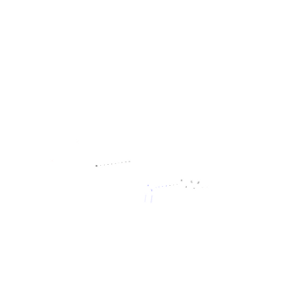 CCCS(=O)(=O)CCNNC